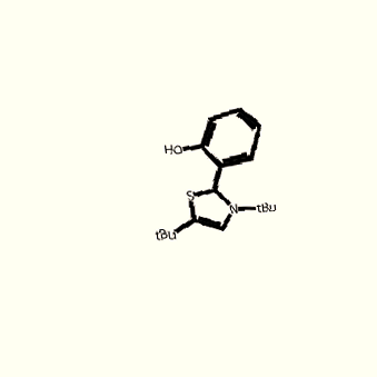 CC(C)(C)C1=CN(C(C)(C)C)C(c2ccccc2O)S1